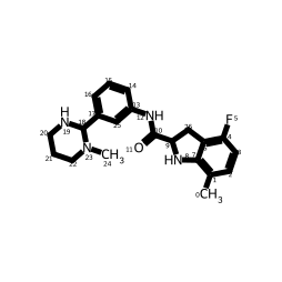 Cc1ccc(F)c2c1NC(C(=O)Nc1cccc(C3NCCCN3C)c1)C2